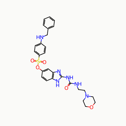 O=C(NCCN1CCOCC1)Nc1nc2cc(OS(=O)(=O)c3ccc(NCc4ccccc4)cc3)ccc2[nH]1